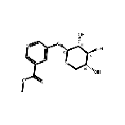 COC(=O)c1cncc(O[C@@H]2SC[C@@H](O)[C@H](O)[C@H]2O)c1